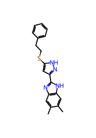 Cc1cc2nc(-c3cc(SCCc4ccccc4)[nH]n3)[nH]c2cc1C